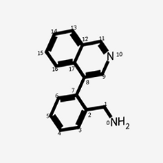 NCc1ccccc1-c1cncc2ccccc12